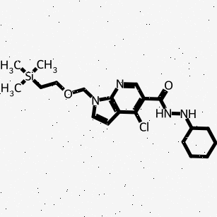 C[Si](C)(C)CCOCn1ccc2c(Cl)c(C(=O)NNC3CCCCC3)cnc21